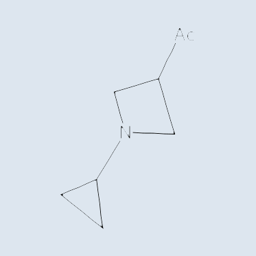 CC(=O)C1CN(C2CC2)C1